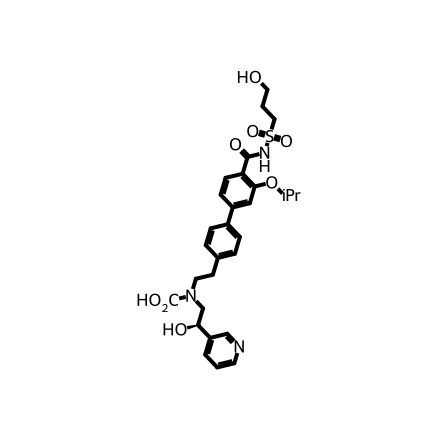 CC(C)Oc1cc(-c2ccc(CCN(C[C@H](O)c3cccnc3)C(=O)O)cc2)ccc1C(=O)NS(=O)(=O)CCCO